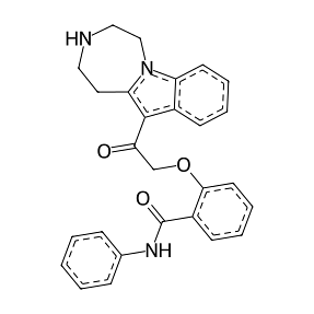 O=C(Nc1ccccc1)c1ccccc1OCC(=O)c1c2n(c3ccccc13)CCNCC2